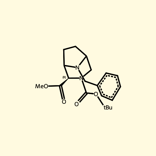 COC(=O)[C@H]1C2CCC(CN1C(=O)OC(C)(C)C)N2Cc1ccccc1